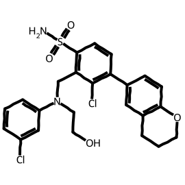 NS(=O)(=O)c1ccc(-c2ccc3c(c2)CCCO3)c(Cl)c1CN(CCO)c1cccc(Cl)c1